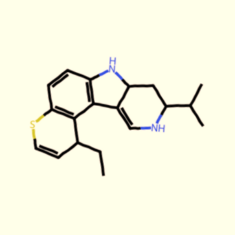 CCC1C=CSc2ccc3c(c21)C1=CNC(C(C)C)CC1N3